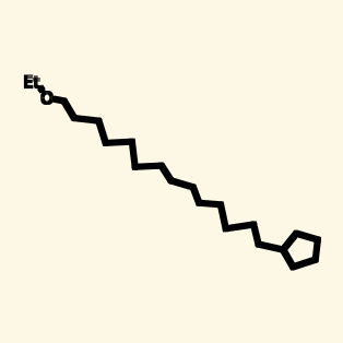 CCOCCCCCCCCCCCCCCC1CCCC1